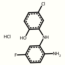 Cl.Nc1ccc(F)cc1Nc1cc(Cl)ccc1O